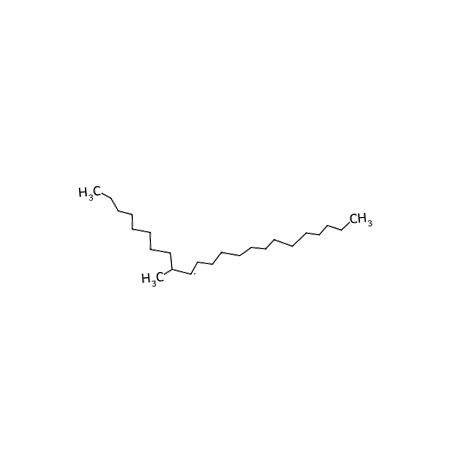 CCCCCCCCCCCCC[CH]C(C)CCCCCCCC